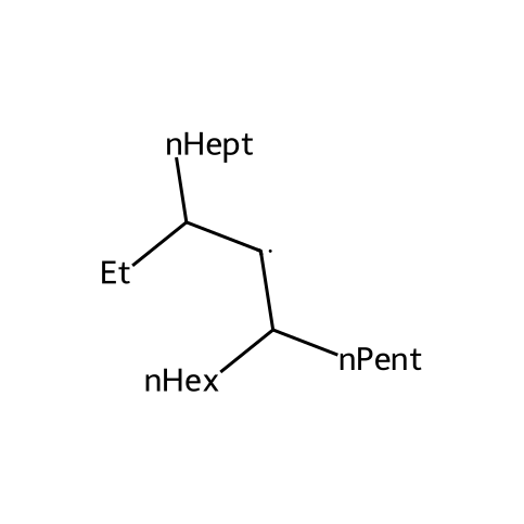 CCCCCCCC([CH]C(CCCCC)CCCCCC)CC